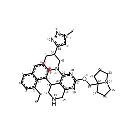 CCc1cccc2cccc(C3CNCc4nc(OCC56CCCN5CCC6)nc(N5CCCC(c6cn(C)nn6)C5)c43)c12